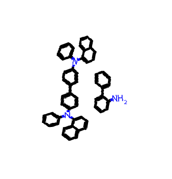 Nc1ccccc1-c1ccccc1.c1ccc(N(c2ccc(-c3ccc(N(c4ccccc4)c4cccc5ccccc45)cc3)cc2)c2cccc3ccccc23)cc1